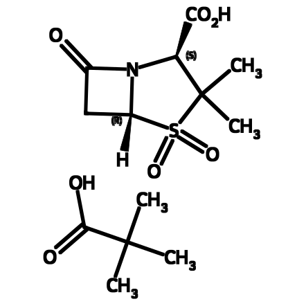 CC(C)(C)C(=O)O.CC1(C)[C@H](C(=O)O)N2C(=O)C[C@H]2S1(=O)=O